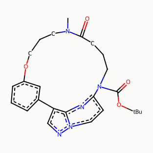 CN1CCCOc2cccc(c2)-c2cnn3ccc(nc23)N(C(=O)OC(C)(C)C)CCCC1=O